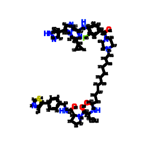 Cc1ncsc1-c1ccc(CNC(=O)[C@@H]2CCCN2C(=O)[C@@H](NC(=O)CCCCCCCCCCCN2CCN(C(=O)c3ccc(Nc4nc(C5CC5)cn5c(-c6cn[nH]c6)cnc45)c(F)c3)CC2)C(C)(C)C)cc1